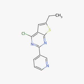 CCc1cc2c(Cl)nc(-c3cccnc3)nc2s1